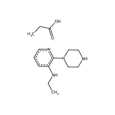 CCC(=O)O.CCNc1cccnc1N1CCNCC1